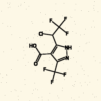 O=C(O)c1c(C(F)(F)F)n[nH]c1C(Cl)C(F)(F)F